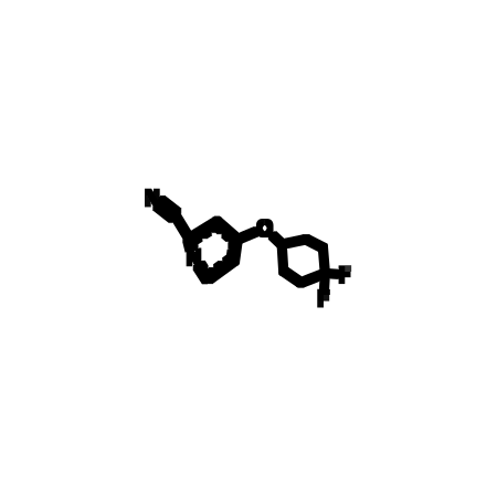 N#Cc1cc(OC2CCC(F)(F)CC2)ccn1